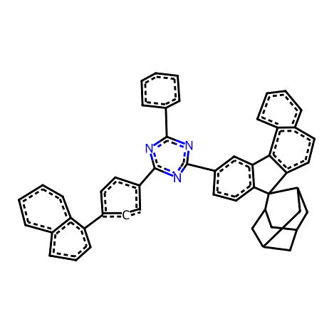 c1ccc(-c2nc(-c3ccc(-c4cccc5ccccc45)cc3)nc(-c3ccc4c(c3)-c3c(ccc5ccccc35)C43C4CC5CC(C4)CC3C5)n2)cc1